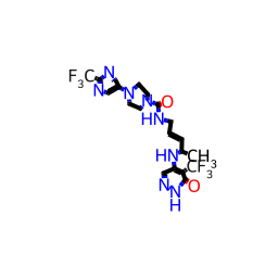 CC(/C=C/CNC(=O)N1CCN(c2cnc(C(F)(F)F)nc2)CC1)Nc1cn[nH]c(=O)c1C(F)(F)F